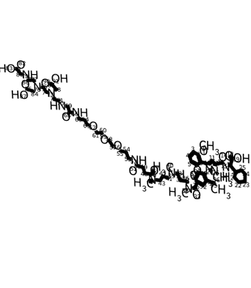 COc1cccc(OC)c1-c1cc(C(=O)N[C@H](C(=O)O)C2CCCCC2)nn1-c1ccc(C(=O)N(C)CCCN(C)CCCN(C)C(=O)CCC(=O)NCCCOCCOCCOCCCNC(=O)CNCCN(CCN(CCNCC(=O)O)CC(=O)O)CC(=O)O)cc1C(C)C